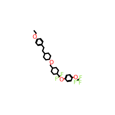 CCOc1ccc(CCC2CCC(OCC3CCC(C(F)(F)Oc4ccc(OC(F)(F)F)cc4)CC3)CC2)cc1